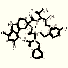 CC[C@H](C)C(NC(=O)[C@@]1(NC(=O)[C@H](CCc2ccc(O)cc2)N(Cc2ccccc2)C(=O)O)CCc2[nH]c3c(Cl)cc(Cl)cc3c2C1)C(N)=S